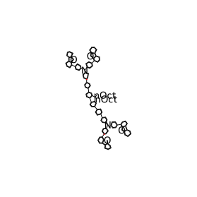 CCCCCCCCC1(CCCCCCCC)c2cc(-c3ccc(-c4ccc(N(c5ccc(-c6cccc7c6oc6ccccc67)cc5)c5ccc(-c6cccc7c6oc6ccccc67)cc5)cc4)cc3)ccc2-c2ccc(-c3ccc(-c4ccc(N(c5ccc(-c6cccc7c6oc6ccccc67)cc5)c5ccc(-c6cccc7c6oc6ccccc67)cc5)cc4)cc3)cc21